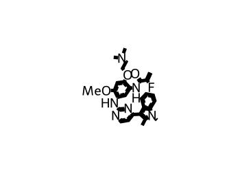 C=C(F)C(=O)Nc1cc(Nc2nccc(-c3c(C)n(C)c4ccccc34)n2)c(OC)cc1OCCN(C)C